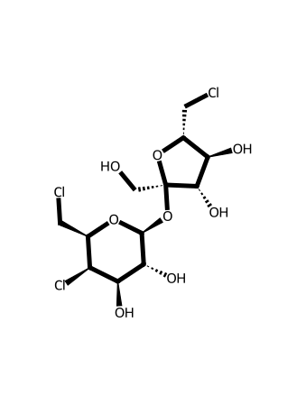 OC[C@]1(O[C@@H]2O[C@H](CCl)[C@H](Cl)[C@H](O)[C@H]2O)O[C@H](CCl)[C@@H](O)[C@@H]1O